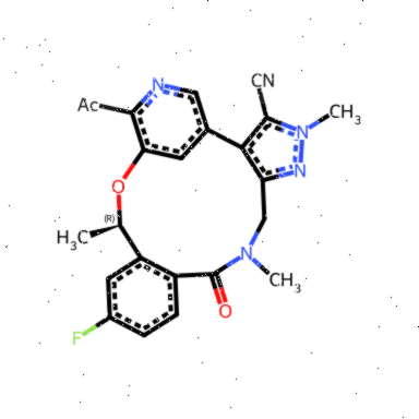 CC(=O)c1ncc2cc1O[C@H](C)c1cc(F)ccc1C(=O)N(C)Cc1nn(C)c(C#N)c1-2